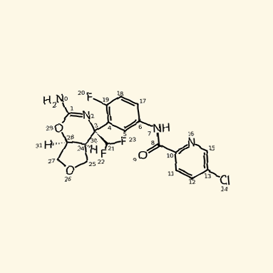 NC1=N[C@@](c2cc(NC(=O)c3ccc(Cl)cn3)ccc2F)(C(F)F)[C@H]2COC[C@H]2O1